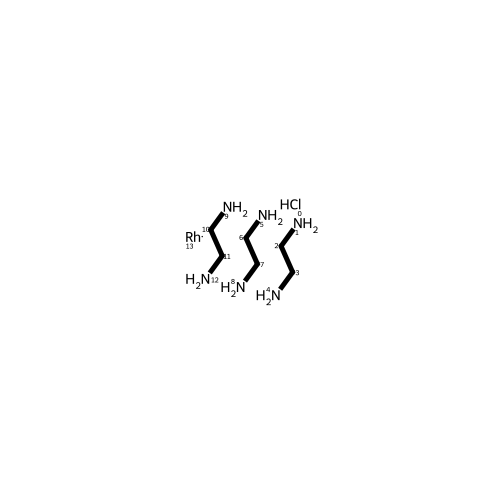 Cl.NCCN.NCCN.NCCN.[Rh]